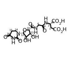 O=C(O)C[C@H](NC(=O)CNC(=O)[C@H]1O[C@@H](N2CCC(=O)NC2=O)[C@H](O)[C@@H]1O)C(=O)O